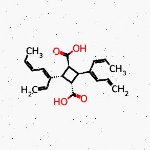 C=C/C=C(\C=C/C)[C@H]1[C@H](C(=O)O)[C@H](/C(C=C)=C/C=C\C)[C@H]1C(=O)O